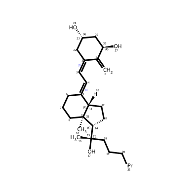 C=C1/C(=C\C=C2/CCC[C@@]3(C)[C@H]2CC[C@@H]3[C@@](C)(O)CCCC(C)C)C[C@H](O)C[C@H]1O